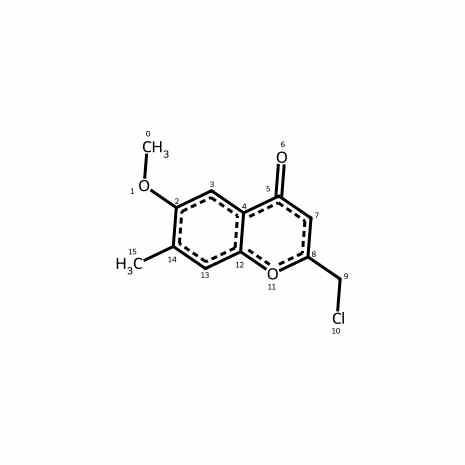 COc1cc2c(=O)cc(CCl)oc2cc1C